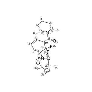 C[C@@H]1CCC[C@H](C)N1C(=O)C1C=CC=C(B2OC(C)(C)C(C)(C)O2)C1(F)F